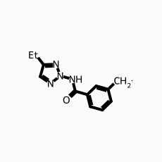 [CH2]c1cccc(C(=O)Nn2ncc(CC)n2)c1